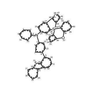 c1ccc(N(c2ccc(-c3cccc4c3sc3ccccc34)cc2)c2ccc3c(c2)[Si]2(c4ccccc4Oc4ccccc42)c2ccccc2-3)cc1